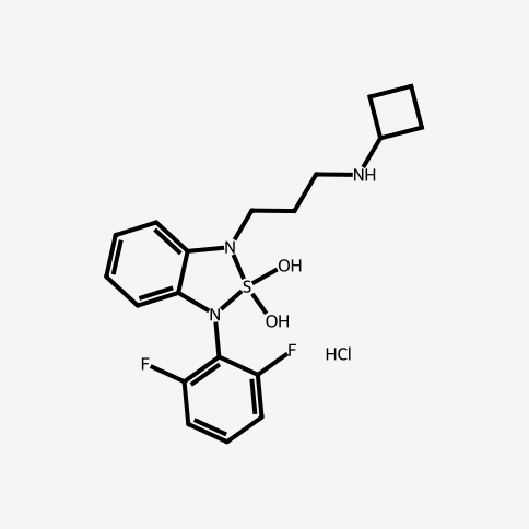 Cl.OS1(O)N(CCCNC2CCC2)c2ccccc2N1c1c(F)cccc1F